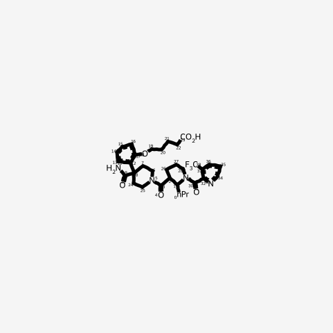 CCCC1C(C(=O)N2CCC(C(N)=O)(c3ccccc3OCCCCC(=O)O)CC2)CCCN1C(=O)c1ncccc1C(F)(F)F